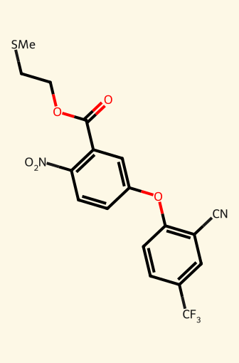 CSCCOC(=O)c1cc(Oc2ccc(C(F)(F)F)cc2C#N)ccc1[N+](=O)[O-]